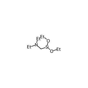 CCO[Si](CN(CC)CC)OCC